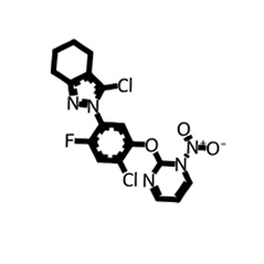 O=[N+]([O-])N1C=CC=NC1Oc1cc(-n2nc3c(c2Cl)CCCC3)c(F)cc1Cl